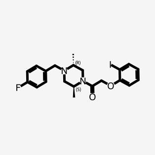 C[C@@H]1CN(C(=O)COc2ccccc2I)[C@@H](C)CN1Cc1ccc(F)cc1